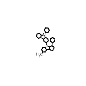 Cc1ccc2c(c1)c1cccc(-c3ccccc3)c1n2-c1ccc2c(c1)c1ccccc1n2-c1ccccc1